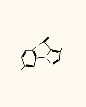 Cc1cnn2c1c(=O)[nH]c1ccc(Br)cc12